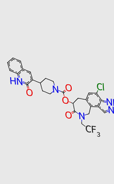 O=C(OC1Cc2cc(Cl)c3[nH]ncc3c2CN(CC(F)(F)F)C1=O)N1CCC(c2cc3ccccc3[nH]c2=O)CC1